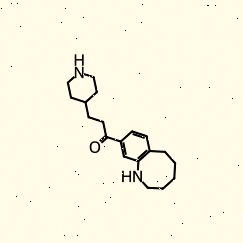 O=C(CCC1CCNCC1)c1ccc2c(c1)NCCCCC2